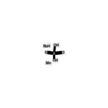 O=S(=O)(O)O.[Mn].[NaH]